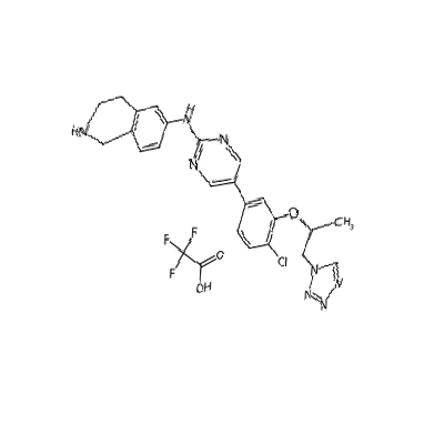 CC(Cn1cnnn1)Oc1cc(-c2cnc(Nc3ccc4c(c3)CCNC4)nc2)ccc1Cl.O=C(O)C(F)(F)F